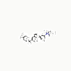 N/C(=N\O)c1cncc(-n2ccc3cc(C(=O)N4CCC(F)(F)CC4)cnc32)c1